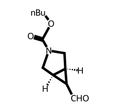 CCCCOC(=O)N1C[C@@H]2C(C=O)[C@@H]2C1